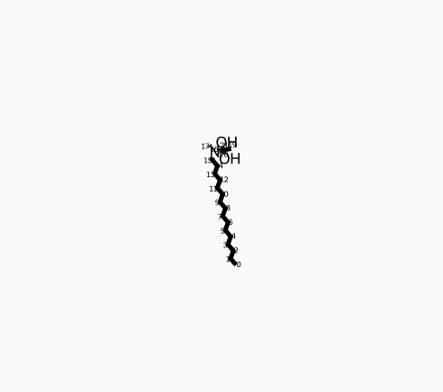 CCCCCCCCCCCCCCCCN(C)C(C)(O)O